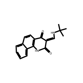 CC(C)(C)N/C=C1/C(=O)Nc2c(ccc3ccccc23)C1=O